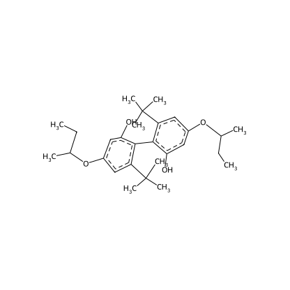 CCC(C)Oc1cc(O)c(-c2c(O)cc(OC(C)CC)cc2C(C)(C)C)c(C(C)(C)C)c1